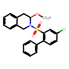 O=C(O)O[C@@H]1Cc2ccccc2CN1S(=O)(=O)c1cc(Cl)ccc1-c1ccccc1